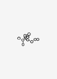 c1ccc(-c2cc(-c3ccccc3)cc(N(c3ccc(-c4cccc(-c5ccc6ccccc6c5)c4)cc3)c3cccc4c3oc3ccccc34)c2)cc1